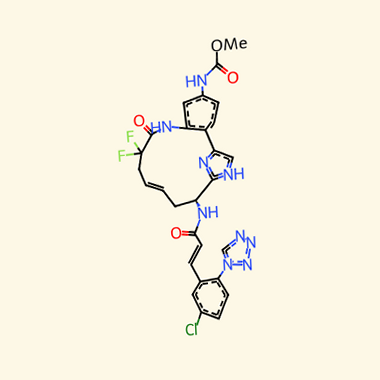 COC(=O)Nc1ccc2c(c1)NC(=O)C(F)(F)C/C=C/C[C@H](NC(=O)/C=C/c1cc(Cl)ccc1-n1cnnn1)c1nc-2c[nH]1